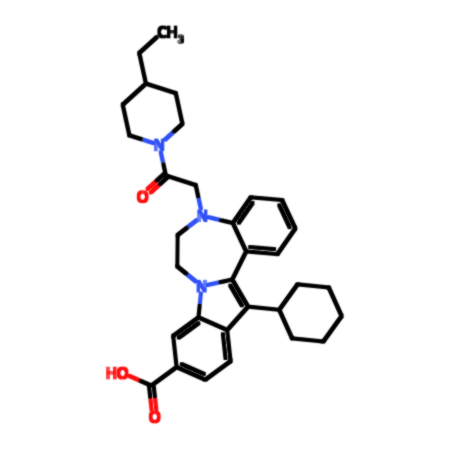 CCC1CCN(C(=O)CN2CCn3c(c(C4CCCCC4)c4ccc(C(=O)O)cc43)-c3ccccc32)CC1